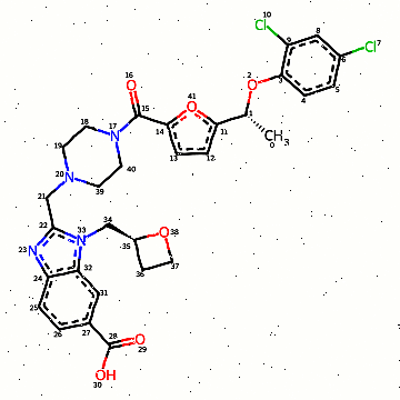 C[C@@H](Oc1ccc(Cl)cc1Cl)c1ccc(C(=O)N2CCN(Cc3nc4ccc(C(=O)O)cc4n3C[C@@H]3CCO3)CC2)o1